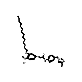 CCCCCCCCCCCCCCOc1cc(OCC(=O)Nc2ccc(C[n+]3csc(C)c3)cc2)ccc1OC.[Br-]